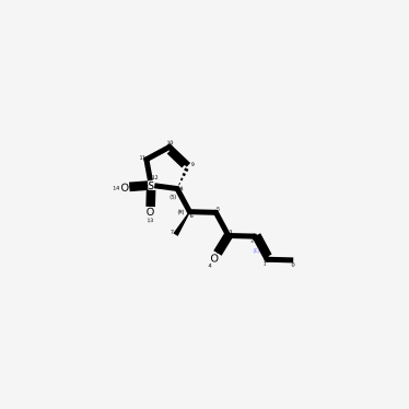 C/C=C/C(=O)C[C@@H](C)[C@H]1C=CCS1(=O)=O